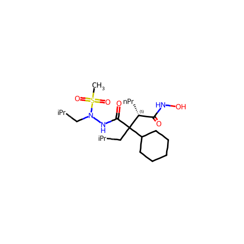 CCC[C@H](C(=O)NO)C(CC(C)C)(C(=O)NN(CC(C)C)S(C)(=O)=O)C1CCCCC1